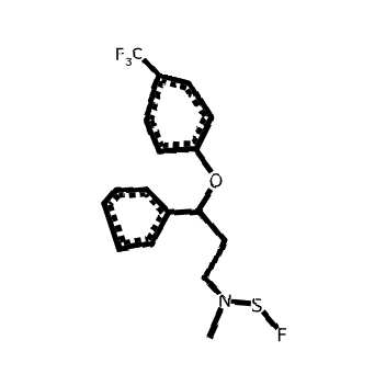 CN(CCC(Oc1ccc(C(F)(F)F)cc1)c1ccccc1)SF